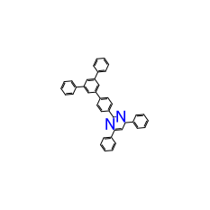 c1ccc(-c2cc(-c3ccccc3)cc(-c3ccc(-c4nc(-c5ccccc5)cc(-c5ccccc5)n4)cc3)c2)cc1